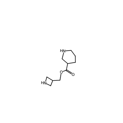 O=C(OCC1CNC1)C1CCCNC1